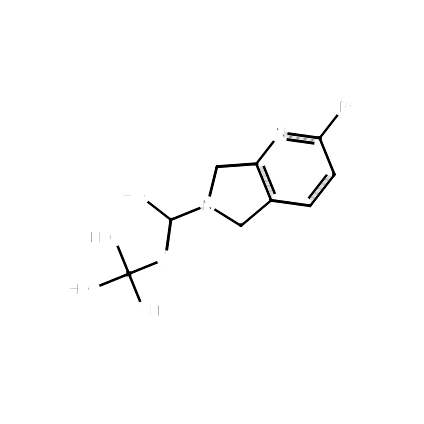 CC(C)(C)OC(O)N1Cc2ccc(Br)nc2C1